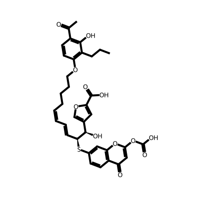 CCCc1c(OCCCC/C=C\C=C\[C@H](Sc2ccc3c(=O)cc(OC(=O)O)oc3c2)[C@H](O)c2coc(C(=O)O)c2)ccc(C(C)=O)c1O